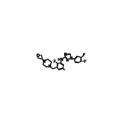 Cc1cc(CN2CCN(C3COC3)CC2)c(F)c(Nc2ncn(-c3ccc(F)c(F)c3)n2)c1